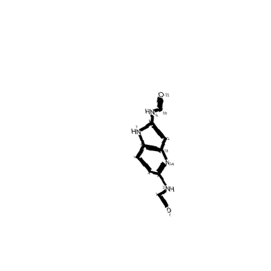 O=CNc1ccc2[nH]c(NC=O)cc2n1